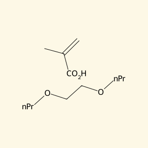 C=C(C)C(=O)O.CCCOCCOCCC